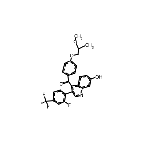 COC(C)COc1ccc(C(=O)c2c(-c3ccc(C(F)(F)F)cc3F)cnc3cc(O)ccc23)cc1